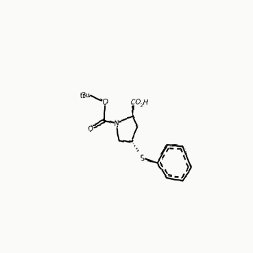 CC(C)(C)OC(=O)N1C[C@@H](Sc2ccccc2)C[C@@H]1C(=O)O